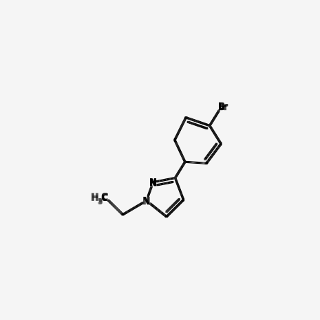 CCn1ccc(C2C=CC(Br)=CC2)n1